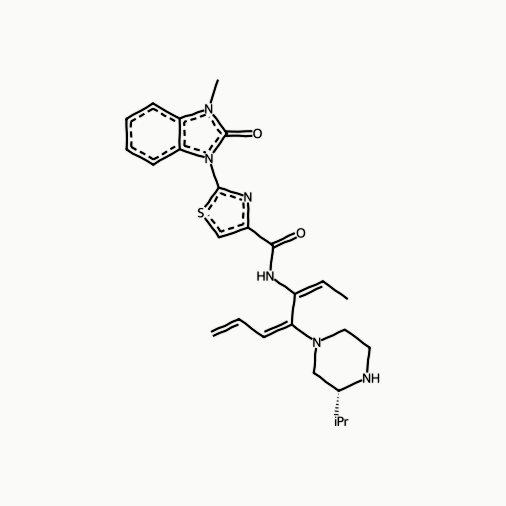 C=C/C=C(\C(=C/C)NC(=O)c1csc(-n2c(=O)n(C)c3ccccc32)n1)N1CCN[C@H](C(C)C)C1